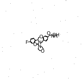 O=C(NO)c1ccc2c(c1)OCC(c1ccc(F)cc1)N(C(=O)N1CCOCC1)C2